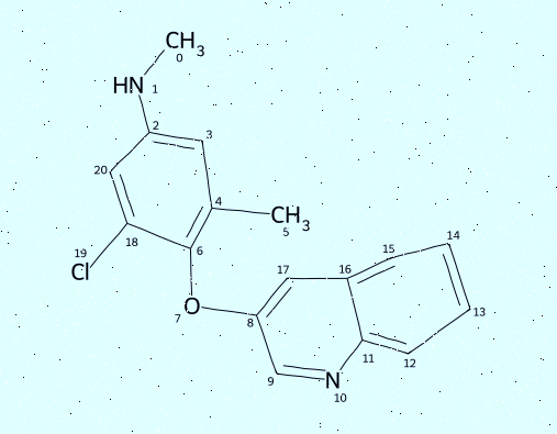 CNc1cc(C)c(Oc2cnc3ccccc3c2)c(Cl)c1